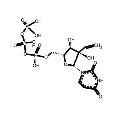 C=C[C@@]1(O)[C@H](O)[C@@H](CO[P@](=O)(O)OP(=O)(O)OP(=O)(O)O)O[C@H]1n1ccc(=O)[nH]c1=O